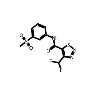 CS(=O)(=O)c1cccc(NC(=O)c2snnc2C(F)F)c1